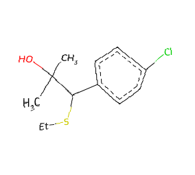 CCSC(c1ccc(Cl)cc1)C(C)(C)O